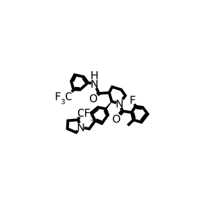 Cc1cccc(F)c1C(=O)N1CCCC(C(=O)Nc2cccc(C(F)(F)F)c2)[C@@H]1c1ccc(CN2CCCC2C(F)(F)F)cc1